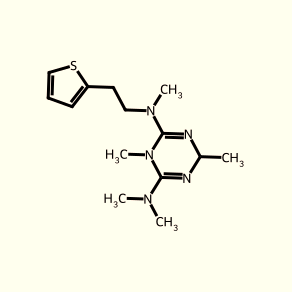 CC1N=C(N(C)C)N(C)C(N(C)CCc2cccs2)=N1